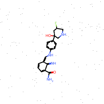 N=C1C(C(N)=O)=CC=C/C1=C/Nc1ccc(C2(O)CNCC(F)C2)cc1